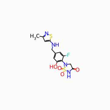 Cc1cc(NCc2cc(O)c(N3CC(=O)NS3(=O)=O)c(F)c2)sn1